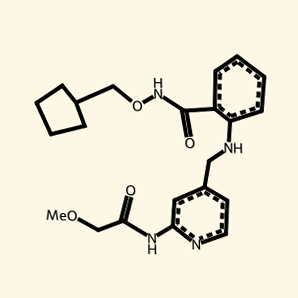 COCC(=O)Nc1cc(CNc2ccccc2C(=O)NOCC2CCCC2)ccn1